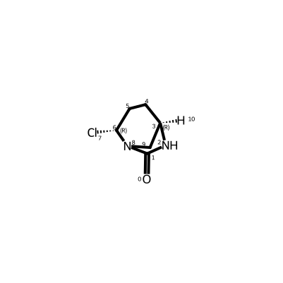 O=C1N[C@@H]2CC[C@@H](Cl)N1C2